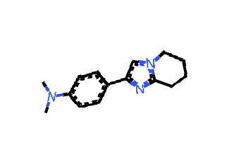 CN(C)c1ccc(-c2cn3c(n2)CCCC3)cc1